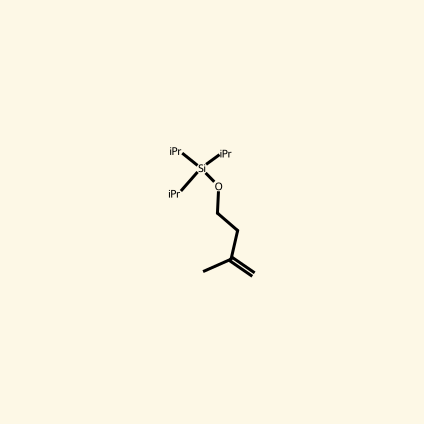 C=C(C)CCO[Si](C(C)C)(C(C)C)C(C)C